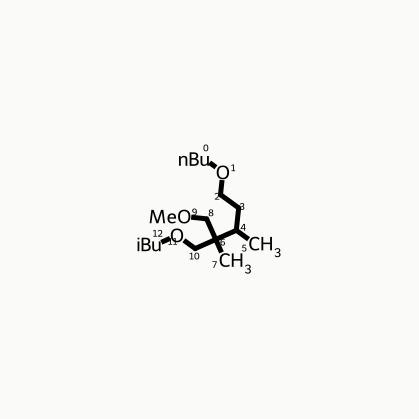 CCCCOCCC(C)C(C)(COC)COC(C)CC